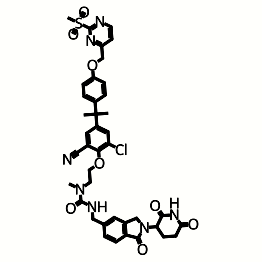 CN(CCOc1c(Cl)cc(C(C)(C)c2ccc(OCc3ccnc(S(C)(=O)=O)n3)cc2)cc1C#N)C(=O)NCc1ccc2c(c1)CN(C1CCC(=O)NC1=O)C2=O